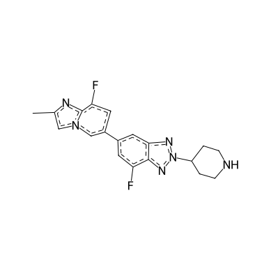 Cc1cn2cc(-c3cc(F)c4nn(C5CCNCC5)nc4c3)cc(F)c2n1